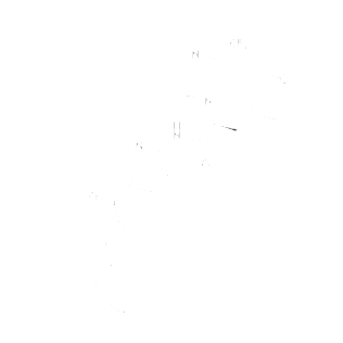 O=C(OCc1ccccc1)c1ccc(NC(=O)[C@H](CC2CCOCC2)n2cc(C(F)(F)F)ncc2=O)nc1